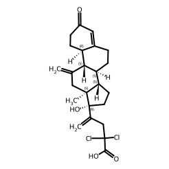 C=C1C[C@@]2(C)[C@@H](CC[C@@]2(O)C(=C)CC(Cl)(Cl)C(=O)O)[C@@H]2CCC3=CC(=O)CC[C@@H]3[C@@H]12